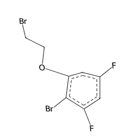 Fc1cc(F)c(Br)c(OCCBr)c1